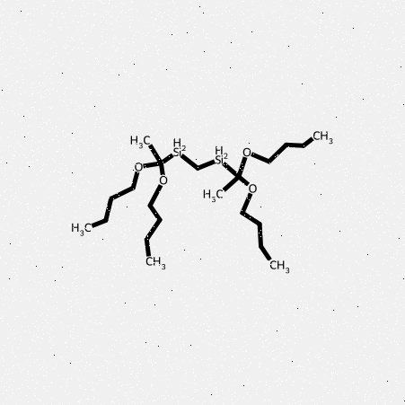 CCCCOC(C)(OCCCC)[SiH2]C[SiH2]C(C)(OCCCC)OCCCC